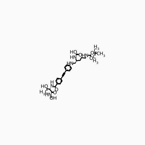 C[C@@H](O)[C@H](NC(=O)c1ccc(C#Cc2ccc(NC[C@H](CCCNC(=O)OC(C)(C)C)NC(=O)O)cc2)cc1)C(=O)NO